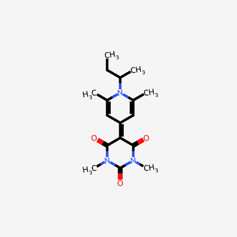 CCC(C)N1C(C)=CC(=C2C(=O)N(C)C(=O)N(C)C2=O)C=C1C